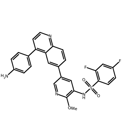 COc1ncc(-c2ccc3nccc(-c4ccc(N)cc4)c3c2)cc1NS(=O)(=O)c1ccc(F)cc1F